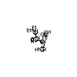 CCC(CC)n1cc(-c2nc(-c3cnn(C[C@@H]4CNCCO4)c3)cn3nccc23)cn1.O=C(O)C(F)(F)F